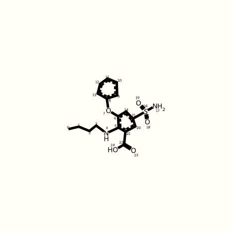 CCCCNc1c(Oc2ccccc2)cc(S(N)(=O)=O)cc1C(=O)O